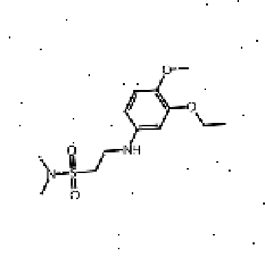 CCOc1cc(NCCS(=O)(=O)N(C)C)ccc1OC